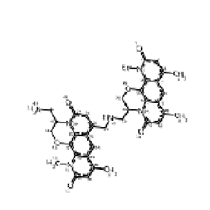 CCn1c(=O)cc(C)c2cc3c(C)cc(=O)n4c3c(c21)OCC4CNCc1cc(=O)n2c3c(c4c(cc13)c(C)cc(=O)n4C)OCC2CN